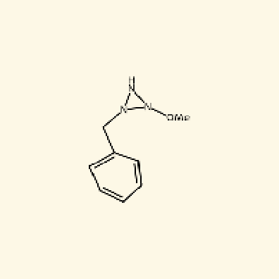 COn1[nH]n1Cc1ccccc1